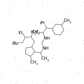 CCC(C)CC(CC)C(C)CC1CCC(C)C1C(C)NCNC(C)C(C(C)C)C1CCCC(C)C1